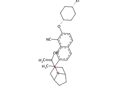 C=C(O)C1CC2CCC(C1)N2C(C)c1ccc2ccc(O[C@H]3CC[C@@H](CC)CC3)c(C#N)c2c1